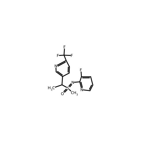 CC(c1ccc(C(F)(F)F)nc1)S(C)(=O)=Nc1ncccc1F